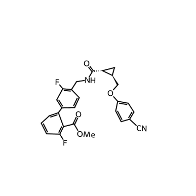 COC(=O)c1c(F)cccc1-c1ccc(CNC(=O)[C@@H]2C[C@H]2COc2ccc(C#N)cc2)c(F)c1